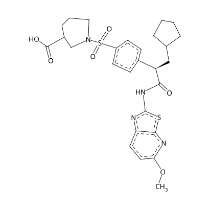 COc1ccc2nc(NC(=O)[C@H](CC3CCCC3)c3ccc(S(=O)(=O)N4CCCC(C(=O)O)C4)cc3)sc2n1